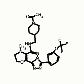 CC(=O)N1CCC(CNc2nn3c(-c4cccc(OC(F)(F)F)c4)nnc3c3c2N(C)CCO3)CC1